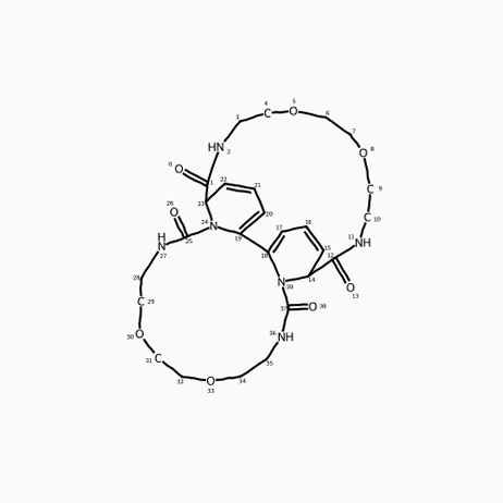 O=C1NCCOCCOCCNC(=O)C2C=CC=C3C4=CC=CC1N4C(=O)NCCOCCOCCNC(=O)N32